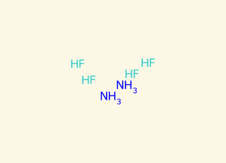 F.F.F.F.N.N